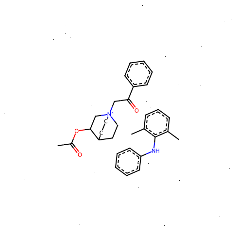 CC(=O)OC1C[N+]2(CC(=O)c3ccccc3)CCC1CC2.Cc1cccc(C)c1Nc1ccccc1